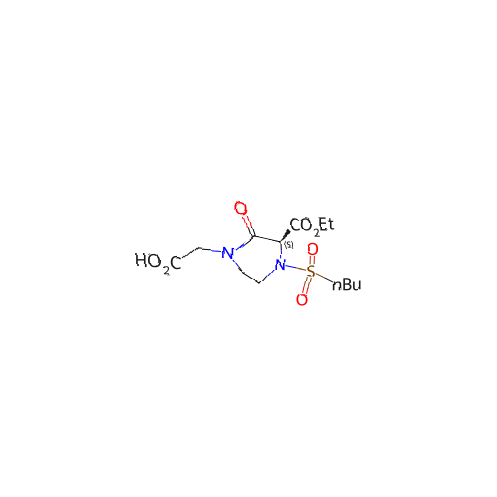 CCCCS(=O)(=O)N1CCN(CC(=O)O)C(=O)[C@H]1C(=O)OCC